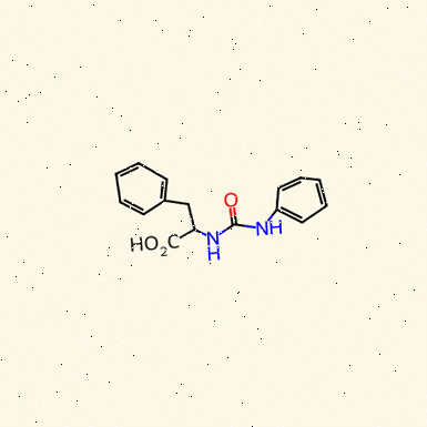 O=C(Nc1ccccc1)NC(Cc1ccccc1)C(=O)O